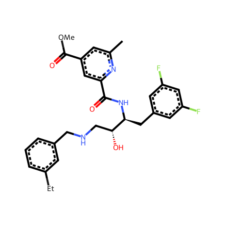 CCc1cccc(CNC[C@@H](O)[C@H](Cc2cc(F)cc(F)c2)NC(=O)c2cc(C(=O)OC)cc(C)n2)c1